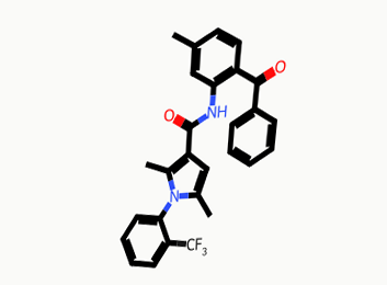 Cc1ccc(C(=O)c2ccccc2)c(NC(=O)c2cc(C)n(-c3ccccc3C(F)(F)F)c2C)c1